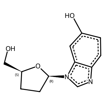 OC[C@@H]1CC[C@H](n2cnc3ccc(O)cc32)O1